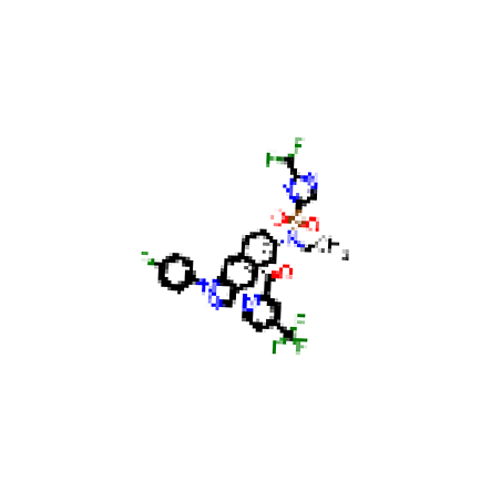 CCN([C@H]1CCC2=Cc3c(cnn3-c3ccc(F)cc3)C[C@]2(C(=O)c2cc(C(F)(F)F)ccn2)C1)S(=O)(=O)C1=NC(C(F)F)N=C1